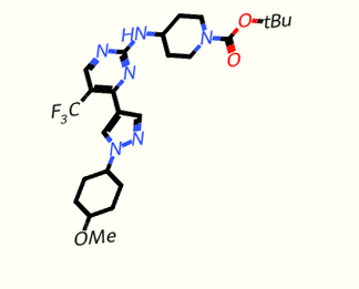 COC1CCC(n2cc(-c3nc(NC4CCN(C(=O)OC(C)(C)C)CC4)ncc3C(F)(F)F)cn2)CC1